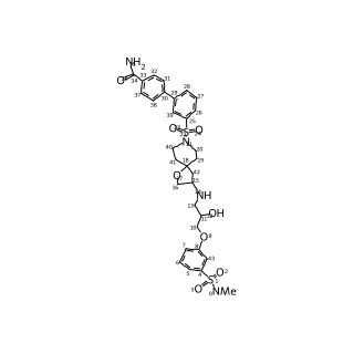 CNS(=O)(=O)c1cccc(OCC(O)CNC2COC3(CCN(S(=O)(=O)c4cccc(-c5ccc(C(N)=O)cc5)c4)CC3)C2)c1